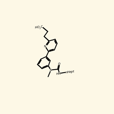 CCCCCCCNC(=O)N(C)c1cccc(-c2cccc(CCC(=O)O)n2)c1